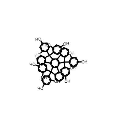 Oc1ccc(C2(c3ccc(O)cc3O)c3ccccc3-c3c2c2c(c4c3C(c3ccc(O)cc3O)(c3ccc(O)cc3O)c3ccccc3-4)C(c3ccc(O)cc3O)(c3ccc(O)cc3O)c3ccccc3-2)c(O)c1